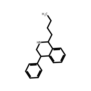 CCCCC1NCC(c2ccccc2)c2ccccc21